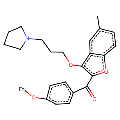 CCOc1ccc(C(=O)c2oc3ccc(C)cc3c2OCCCN2CCCC2)cc1